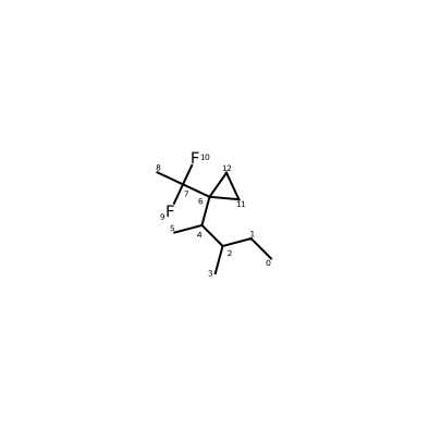 CCC(C)C(C)C1(C(C)(F)F)CC1